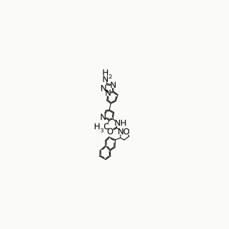 Cc1ncc(-c2ccc3nc(N)nn3c2)cc1NC(=O)N1OCCC1c1ccc2ccccc2c1